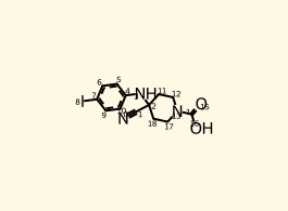 N#CC1(Nc2ccc(I)cc2)CCN(C(=O)O)CC1